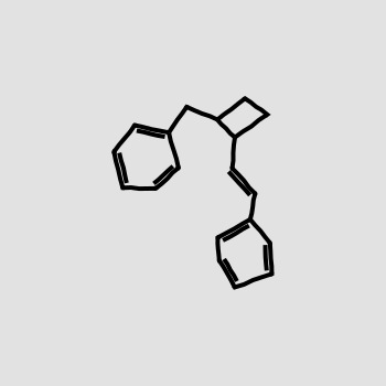 C(=CC1CCC1Cc1ccccc1)c1ccccc1